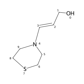 OCC=CN1CCSCC1